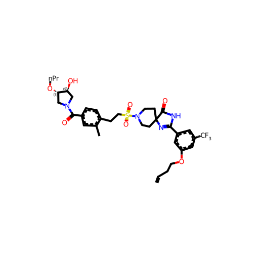 C=CCCOc1cc(C2=NC3(CCN(S(=O)(=O)CCc4ccc(C(=O)N5C[C@H](OCCC)[C@@H](O)C5)cc4C)CC3)C(=O)N2)cc(C(F)(F)F)c1